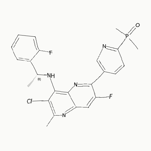 Cc1nc2cc(F)c(-c3ccc(P(C)(C)=O)nc3)nc2c(N[C@H](C)c2ccccc2F)c1Cl